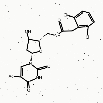 CC(=O)c1cn([C@@H]2CC(O)[C@H](CNC(=O)Cc3c(Cl)cccc3Cl)O2)c(=O)[nH]c1=O